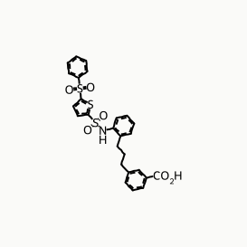 O=C(O)c1cccc(CCCc2ccccc2NS(=O)(=O)c2ccc(S(=O)(=O)c3ccccc3)s2)c1